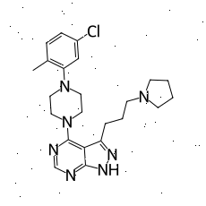 Cc1ccc(Cl)cc1N1CCN(c2ncnc3[nH]nc(CCCN4CCCC4)c23)CC1